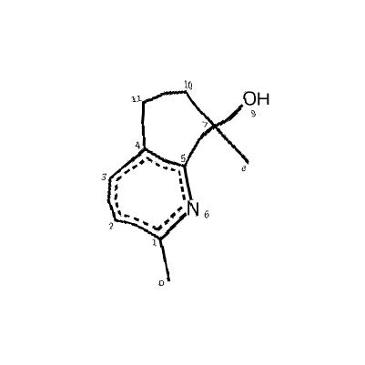 Cc1ccc2c(n1)C(C)(O)CC2